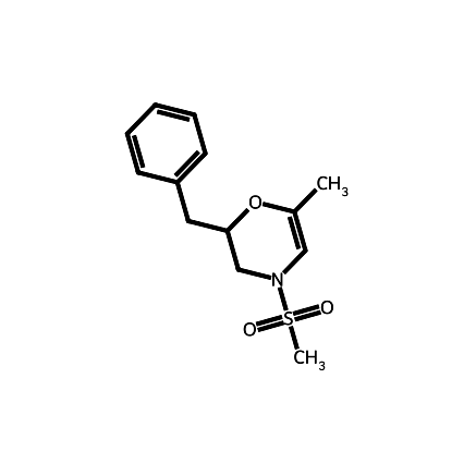 CC1=CN(S(C)(=O)=O)CC(Cc2ccccc2)O1